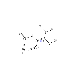 C#CC(=C)C/C(N=C)=C(/CC)C(C)C